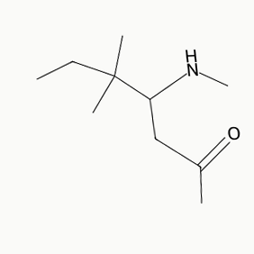 CCC(C)(C)C(CC(C)=O)NC